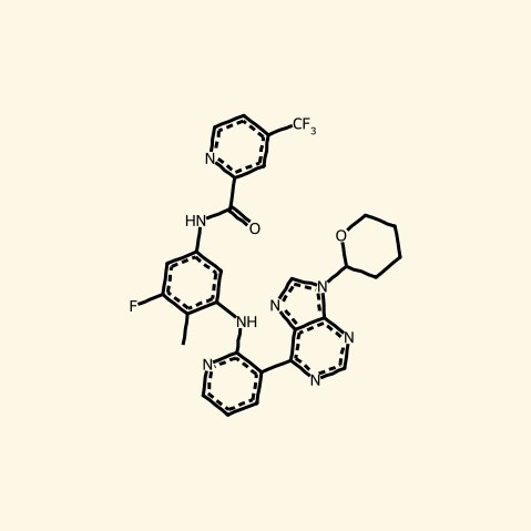 Cc1c(F)cc(NC(=O)c2cc(C(F)(F)F)ccn2)cc1Nc1ncccc1-c1ncnc2c1ncn2C1CCCCO1